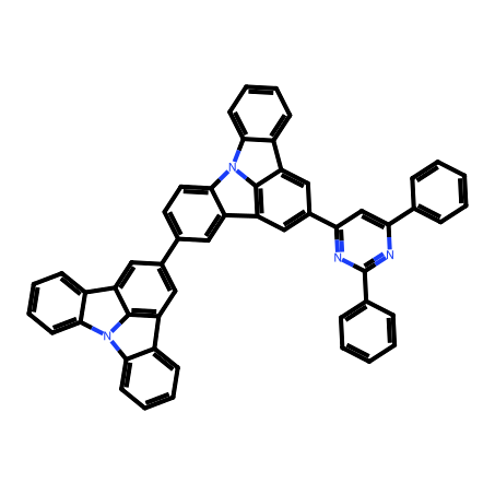 c1ccc(-c2cc(-c3cc4c5ccccc5n5c6ccc(-c7cc8c9ccccc9n9c%10ccccc%10c(c7)c89)cc6c(c3)c45)nc(-c3ccccc3)n2)cc1